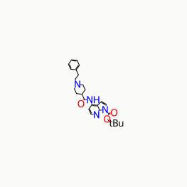 CC(C)(C)OC(=O)n1ccc2c(NC(=O)C3CCN(CCc4ccccc4)CC3)ccnc21